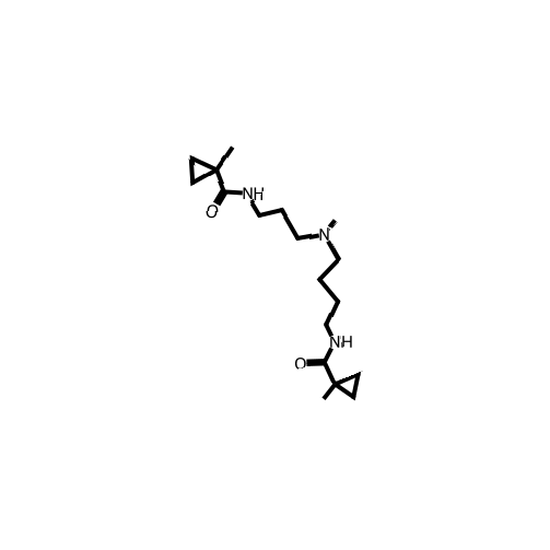 CN(CCCCNC(=O)C1(C)CC1)CCCNC(=O)C1(C)CC1